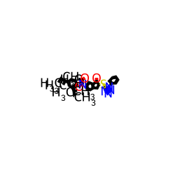 CCC(C)(C)c1ccc(ON(C(C)=O)c2ccc3c(c2)C(=O)C(Sc2nnnn2-c2ccccc2)C3)c(C(C)(C)CC)c1